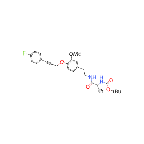 COc1cc(CCNC(=O)C(NC(=O)OC(C)(C)C)C(C)C)ccc1OCC#Cc1ccc(F)cc1